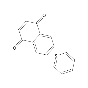 O=C1C=CC(=O)c2ccccc21.c1cc[s+]cc1